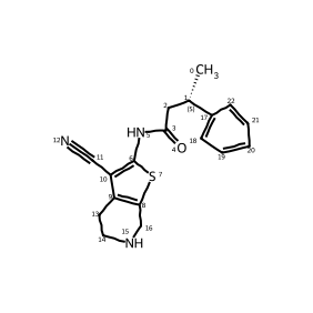 C[C@@H](CC(=O)Nc1sc2c(c1C#N)CCNC2)c1ccccc1